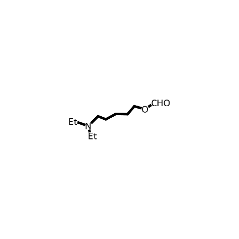 CCN(CC)CCCCCOC=O